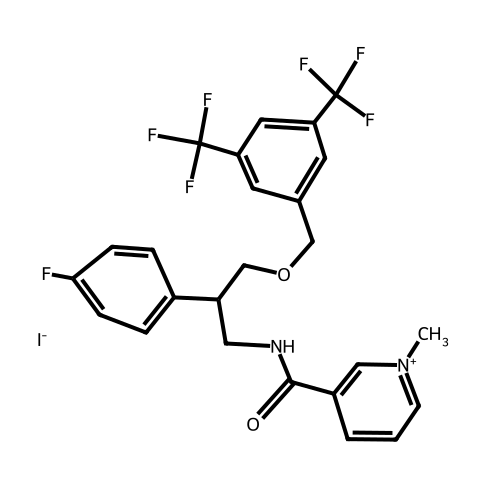 C[n+]1cccc(C(=O)NCC(COCc2cc(C(F)(F)F)cc(C(F)(F)F)c2)c2ccc(F)cc2)c1.[I-]